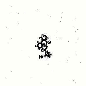 N#CC1N(C(=O)CNC(=O)c2ccncc2-c2ccccc2)CC1(F)F